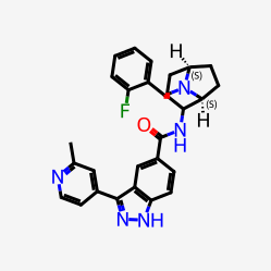 Cc1cc(-c2n[nH]c3ccc(C(=O)NC4CC[C@H]5CC[C@@H]4N5Cc4ccccc4F)cc23)ccn1